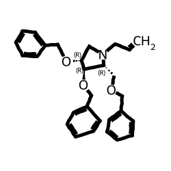 C=CCN1C[C@@H](OCc2ccccc2)[C@H](OCc2ccccc2)[C@H]1COCc1ccccc1